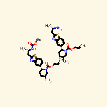 C=CCOC(=O)N1C[C@@H](C)CC[C@@H]1c1ccc2sc(C[C@H](C)N)nc2c1.C=CCOC(=O)N1C[C@@H](C)CC[C@@H]1c1ccc2sc(C[C@H](C)NC(=O)OC(C)(C)C)nc2c1